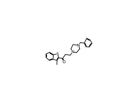 Cc1c(C(=O)CCN2CCN(Cc3ccccc3)CC2)sc2ccccc12